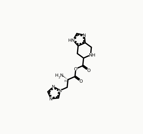 N[C@@H](Cn1cncn1)C(=O)OC(=O)C1Cc2[nH]cnc2CN1